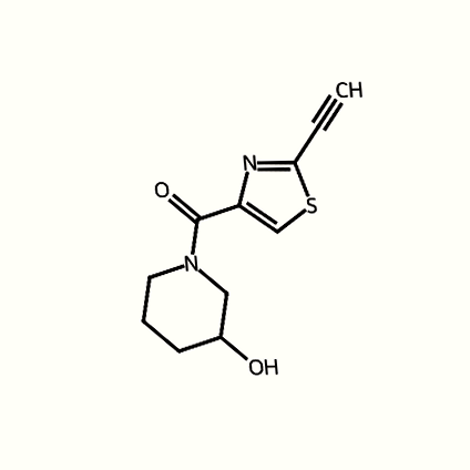 C#Cc1nc(C(=O)N2CCCC(O)C2)cs1